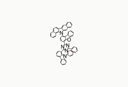 c1ccc(-c2nc(-c3ccc(-n4c5cc6ccccc6cc5c5ccc6ccccc6c54)c4c3oc3ccccc34)nc(-c3cccc4c5ccccc5n(-c5ccccc5)c34)n2)cc1